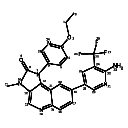 CCOc1ccc(-n2c(=O)n(C)c3cnc4ccc(-c5cnc(N)c(C(F)(F)F)c5)cc4c32)cn1